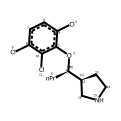 CCC[C@@H](Oc1c(Cl)ccc(Cl)c1Cl)[C@H]1CCNC1